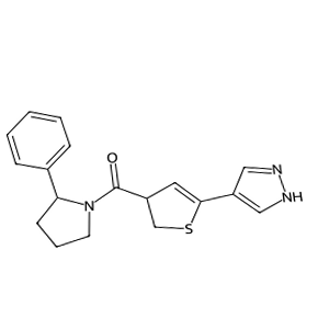 O=C(C1C=C(c2cn[nH]c2)SC1)N1CCCC1c1ccccc1